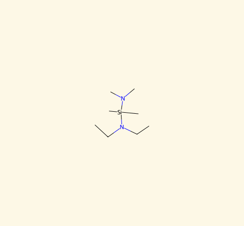 CCN(CC)[Si](C)(C)N(C)C